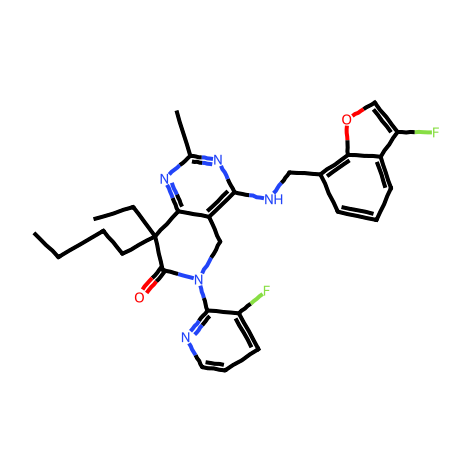 CCCCC1(CC)C(=O)N(c2ncccc2F)Cc2c(NCc3cccc4c(F)coc34)nc(C)nc21